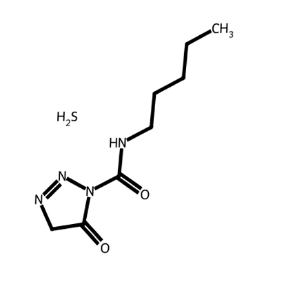 CCCCCNC(=O)N1N=NCC1=O.S